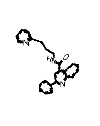 O=C(NCCCc1ccccn1)c1cc(-c2ccccc2)nc2ccccc12